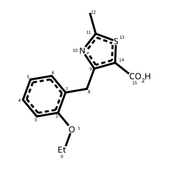 CCOc1ccccc1Cc1nc(C)sc1C(=O)O